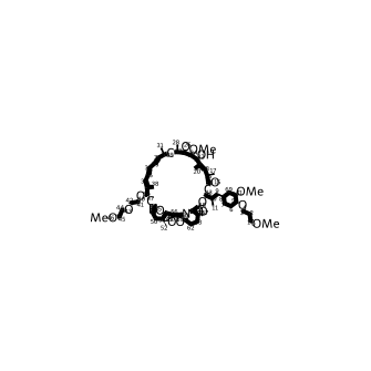 COCCCO[C@@H]1CC[C@@H](C[C@@H](C)[C@@H]2CC(=O)[C@H](C)/C=C(\C)[C@@H](O)[C@@H](OC)C(=O)[C@H](C)C[C@H](C)/C=C/C=C/C=C(\C)C(OCCOCCOC)C[C@@H]3CC[C@@H](C)[C@@](O)(O3)C(=O)C(=O)N3CCCC[C@H]3C(=O)O2)C[C@H]1OC